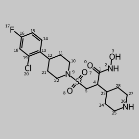 O=C(NO)C(CS(=O)(=O)N1CCC(c2ccc(F)cc2Cl)CC1)C1CCNCC1